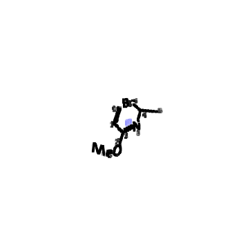 C=C/C(=N\C(C)Br)OC